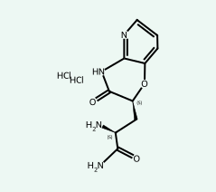 Cl.Cl.NC(=O)[C@@H](N)C[C@@H]1Oc2cccnc2NC1=O